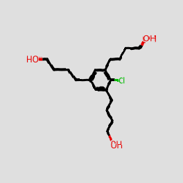 OCCCCc1cc(CCCCO)c(Cl)c(CCCCO)c1